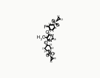 Cc1c(Oc2ccc(S(=O)(=O)C3CC3)cc2F)ncnc1OC1CCN(S(=O)(=O)C2CC2)CC1